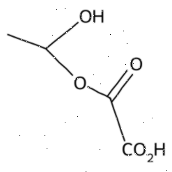 CC(O)OC(=O)C(=O)O